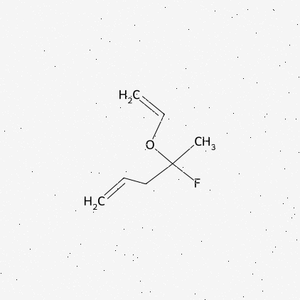 C=CCC(C)(F)OC=C